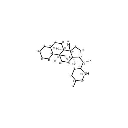 CC1CCC([C@@H](C)[C@H]2CC[C@H]3[C@@H]4CCC5CCCC[C@]5(C)[C@H]4CC[C@]23C)NC1